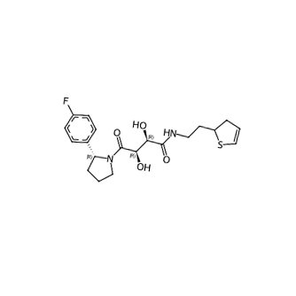 O=C(NCCC1CC=CS1)[C@H](O)[C@@H](O)C(=O)N1CCC[C@@H]1c1ccc(F)cc1